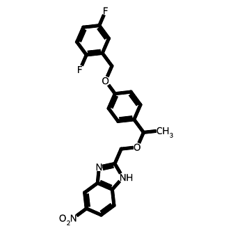 CC(OCc1nc2cc([N+](=O)[O-])ccc2[nH]1)c1ccc(OCc2cc(F)ccc2F)cc1